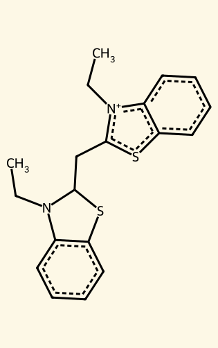 CCN1c2ccccc2SC1Cc1sc2ccccc2[n+]1CC